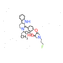 C=C(CC)N1CCc2c([nH]c3ccccc23)[C@H]1c1ccc(O[C@@H]2CN(CCCF)C[C@H]2O)cc1